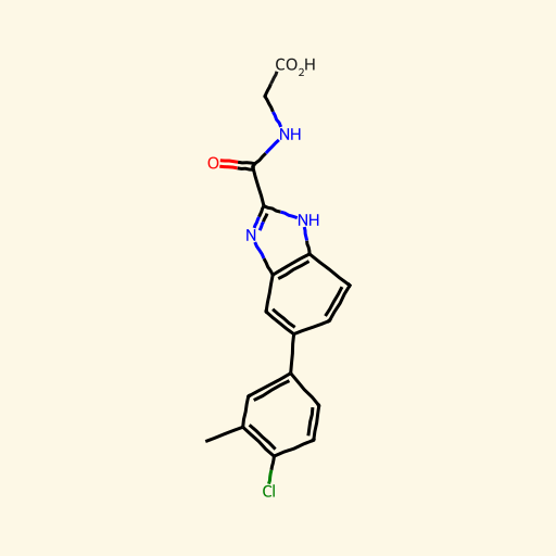 Cc1cc(-c2ccc3[nH]c(C(=O)NCC(=O)O)nc3c2)ccc1Cl